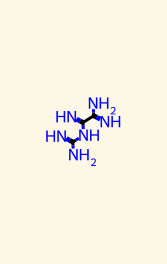 N=C(N)NC(=N)C(=N)N